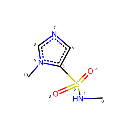 [CH2]NS(=O)(=O)c1cncn1C